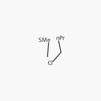 CCCCCl.CSC